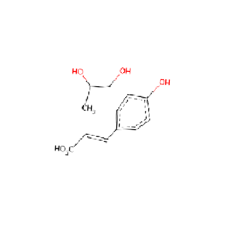 CC(O)CO.O=C(O)/C=C/c1ccc(O)cc1